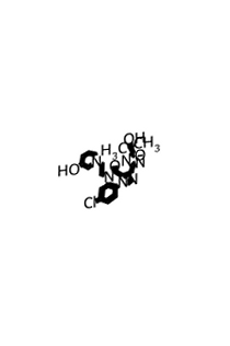 CC(C)(O)c1nc(-c2ncn3c2c(=O)n(CCN2CCCC(O)C2)c2cc(Cl)ccc23)no1